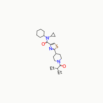 CCC(CC)C(=O)N1CCC(c2nc(C(=O)N(C3CCCCC3)C3CC3)cs2)CC1